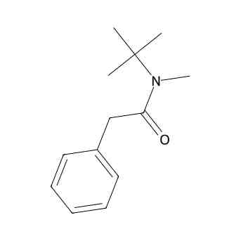 CN(C(=O)Cc1ccccc1)C(C)(C)C